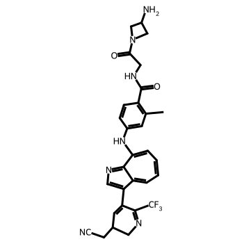 Cc1cc(Nc2ccccc3c(C4=CC(CC#N)CN=C4C(F)(F)F)cnc2-3)ccc1C(=O)NCC(=O)N1CC(N)C1